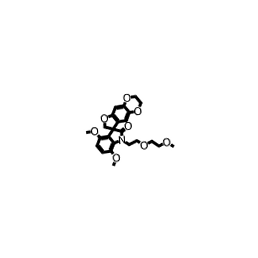 COCCOCCN1C(=O)C2(COc3cc4c(cc32)OCCO4)c2c(OC)ccc(OC)c21